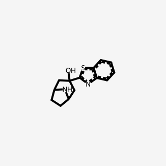 OC1(c2nc3ccccc3s2)CC2CCC(C1)N2